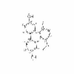 CCc1ccc(C)cc1.Oc1ccc(-c2ccc(O)cc2)cc1